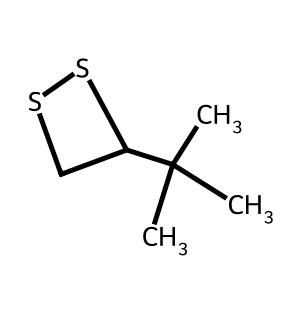 CC(C)(C)C1CSS1